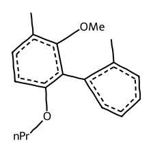 CCCOc1ccc(C)c(OC)c1-c1ccccc1C